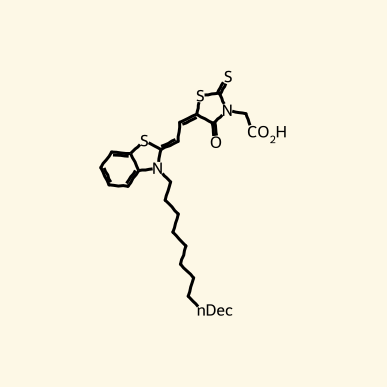 CCCCCCCCCCCCCCCCCCN1/C(=C/C=C2/SC(=S)N(CC(=O)O)C2=O)Sc2ccccc21